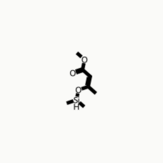 COC(=O)C=C(C)O[SiH](C)C